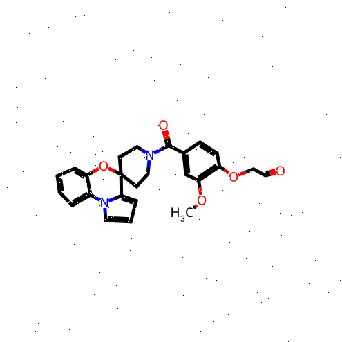 COc1cc(C(=O)N2CCC3(CC2)Oc2ccccc2-n2cccc23)ccc1OCC=O